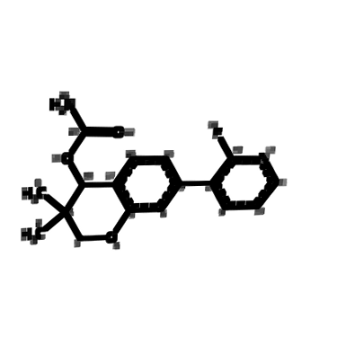 CC1(C)COc2cc(-c3cccnc3F)ccc2C1OC(N)=O